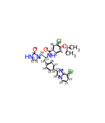 CC(C)Oc1ccc(C(=O)N[C@@H](Cc2ccc(-c3cn4cccc(Br)c4n3)cc2)CN2CCNC2=O)cc1Cl